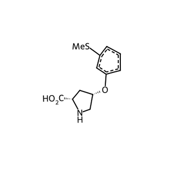 CSc1cccc(O[C@@H]2CN[C@H](C(=O)O)C2)c1